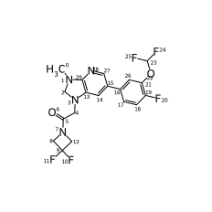 CN1CN(CC(=O)N2CC(F)(F)C2)c2cc(-c3ccc(F)c(OC(F)F)c3)cnc21